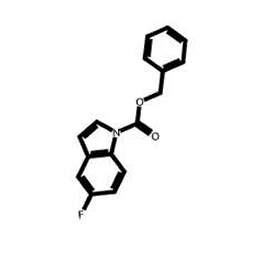 O=C(OCc1ccccc1)n1ccc2cc(F)ccc21